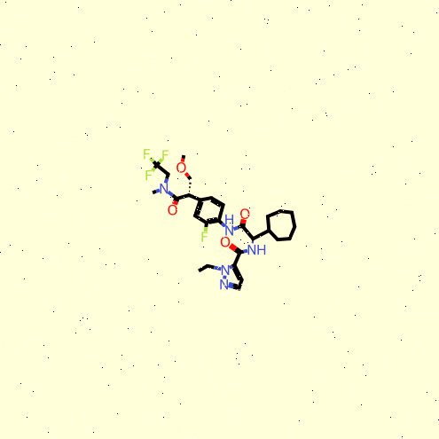 CCn1nccc1C(=O)N[C@H](C(=O)Nc1ccc([C@@H](COC)C(=O)N(C)CC(F)(F)F)cc1F)C1CCCCCC1